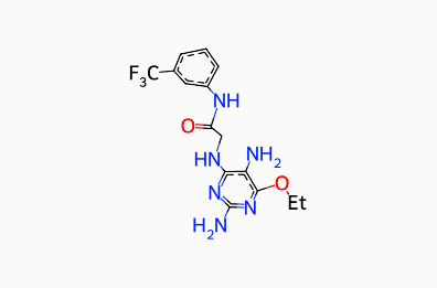 CCOc1nc(N)nc(NCC(=O)Nc2cccc(C(F)(F)F)c2)c1N